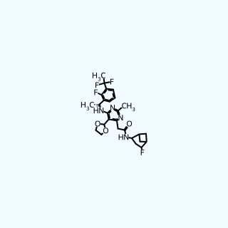 Cc1nc(CC(=O)NC2CC(F)C3CC2C3)c(C2OCCO2)c(N[C@H](C)c2cccc(C(C)(F)F)c2F)n1